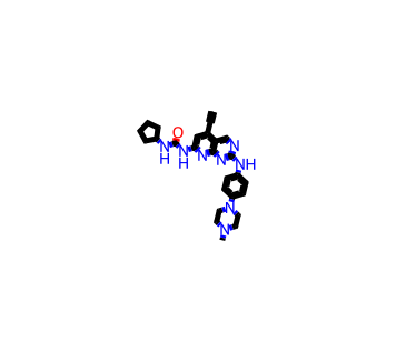 C#Cc1cc(NC(=O)NC2CCCC2)nc2nc(Nc3ccc(N4CCN(C)CC4)cc3)ncc12